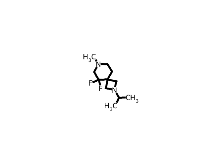 CC(C)N1CC2(CCN(C)CC2(F)F)C1